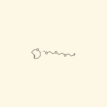 FCCOCCOCCOC[C@@H]1CC/C=C/CCO1